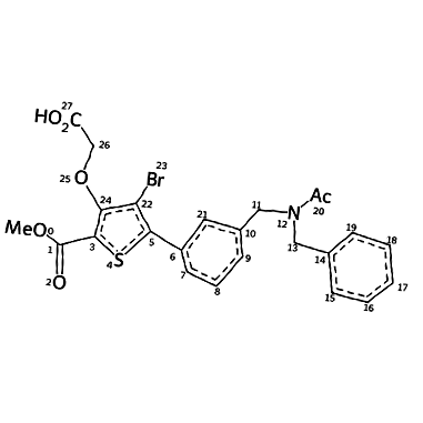 COC(=O)c1sc(-c2cccc(CN(Cc3ccccc3)C(C)=O)c2)c(Br)c1OCC(=O)O